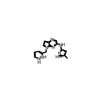 Cc1cc(Nc2cnc3ccn(CC4=CC=CNN4)c3n2)n[nH]1